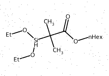 CCCCCCOC(=O)C(C)(C)[SiH](OCC)OCC